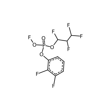 O=P(OF)(Oc1cccc(F)c1F)OC(F)C(F)C(F)F